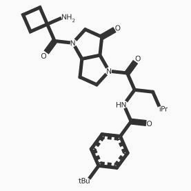 CC(C)CC(NC(=O)c1ccc(C(C)(C)C)cc1)C(=O)N1CCC2C1C(=O)CN2C(=O)C1(N)CCC1